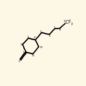 C=C1CCC(CCCCC(F)(F)F)CC1